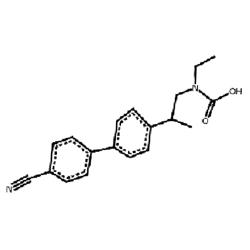 CCN(CC(C)c1ccc(-c2ccc(C#N)cc2)cc1)C(=O)O